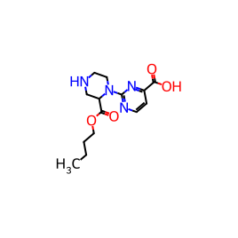 CCCCOC(=O)C1CNCCN1c1nccc(C(=O)O)n1